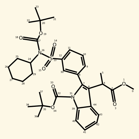 COC(=O)C(C)c1c(-c2cccc(S(=O)(=O)N(C(=O)OC(C)(C)C)C3CCCCC3)c2)n(C(=O)OC(C)(C)C)c2ccccc12